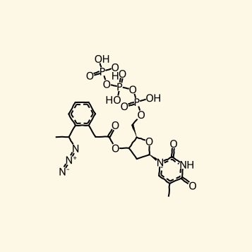 Cc1cn([C@H]2CC(OC(=O)Cc3ccccc3C(C)N=[N+]=[N-])[C@@H](COP(=O)(O)OP(=O)(O)OP(=O)(O)O)O2)c(=O)[nH]c1=O